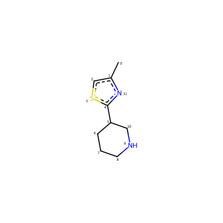 Cc1csc(C2CCCNC2)n1